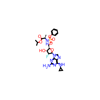 CC(C)OC(=O)[C@@H](C)N[P@](=O)(OC[C@H]1O[C@@H](n2cnc3c(NC4CC4)nc(N)nc32)[C@@H](F)[C@@H]1O)Oc1ccccc1